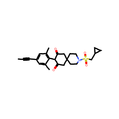 CC#Cc1cc(C)c(C2C(=O)CC3(CCN(S(=O)(=O)CC4CC4)CC3)CC2=O)c(C)c1